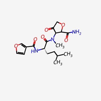 CC(C)CC[C@H](NC(=O)c1ccoc1)C(=O)N(C)C1C(=O)COC1C(N)=O